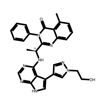 Cc1cccc2nc([C@H](C)Nc3ncnc4[nH]cc(-c5cnn(CCO)c5)c34)n(-c3ccccc3)c(=O)c12